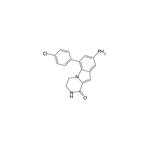 O=C1NCCn2c1cc1cc(P)cc(-c3ccc(Cl)cc3)c12